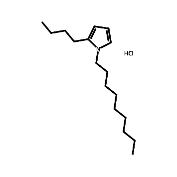 CCCCCCCCCn1cccc1CCCC.Cl